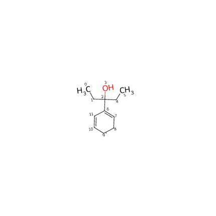 CCC(O)(CC)C1=CC[CH]C=C1